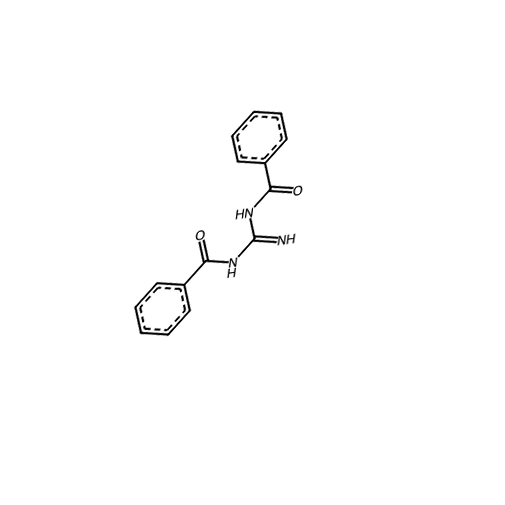 N=C(NC(=O)c1ccccc1)NC(=O)c1ccccc1